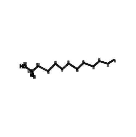 CCCCCCCCCCC[SiH2]O